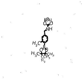 Cc1cc(CNC(=O)OC(C)(C)C)ccc1B1OC(C)(C)C(C)(C)O1